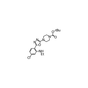 CCNc1cc(Cl)ccc1-c1nnc(N2CCN(C(=O)OC(C)(C)C)CC2)o1